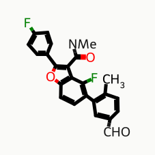 CNC(=O)c1c(-c2ccc(F)cc2)oc2ccc(-c3cc(C=O)ccc3C)c(F)c12